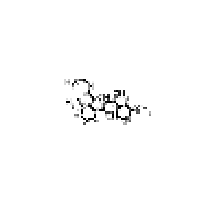 C/C=N\C=C(/C)C1=C(C(C)CC(C)c2cccc(C)c2)C=CCC1C